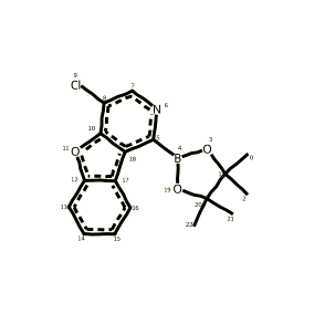 CC1(C)OB(c2ncc(Cl)c3oc4ccccc4c23)OC1(C)C